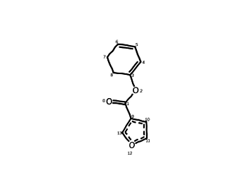 O=C(OC1=CC=CCC1)c1ccoc1